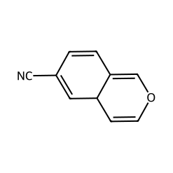 N#CC1=CC2C=COC=C2C=C1